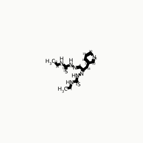 CCNC(=S)N/N=C(\C=N\NC(=S)NCC)Cc1cccnc1